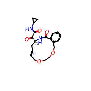 O=C(NC1CC1)C(=O)[C@@H]1C/C=C/COCCOCc2ccccc2C(=O)N1